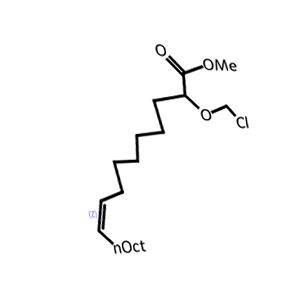 CCCCCCCC/C=C\CCCCCCC(OCCl)C(=O)OC